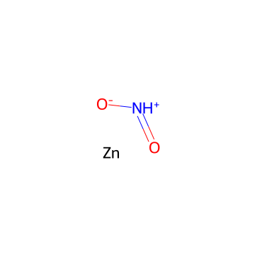 O=[NH+][O-].[Zn]